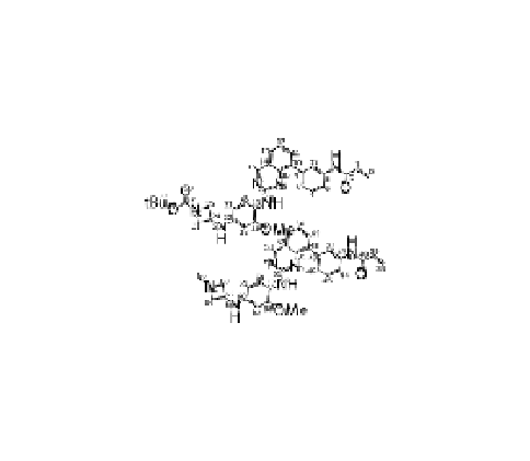 C=CC(=O)Nc1cccc(-c2cccc3cnc(Nc4ccc(NC5CN(C(=O)OC(C)(C)C)C5)cc4OC)nc23)c1.C=CC(=O)Nc1cccc(-c2cccc3cnc(Nc4ccc(NC5CN(C)C5)cc4OC)nc23)c1